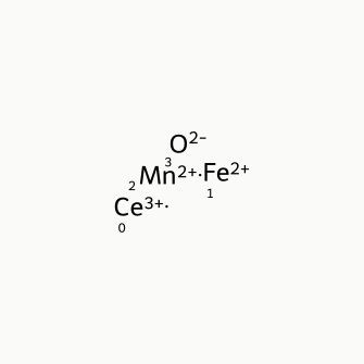 [Ce+3].[Fe+2].[Mn+2].[O-2]